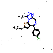 CCc1cc2c(s1)-n1c(C)nnc1CN=C2c1ccc(Cl)cc1